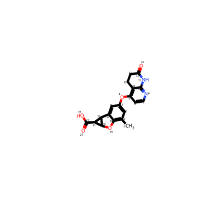 Cc1cc(Oc2ccnc3c2CCC(=O)N3)cc2c1OC1C(C(=O)O)C21